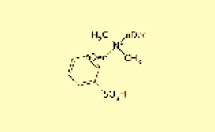 CCCCCCCCCC[N+](C)(C)CCCCCCCCCC.O=S(=O)(O)c1ccccc1